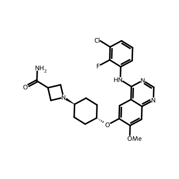 COc1cc2ncnc(Nc3cccc(Cl)c3F)c2cc1O[C@H]1CC[C@H](N2CC(C(N)=O)C2)CC1